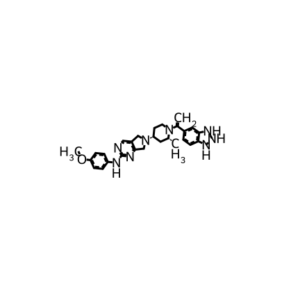 C=C(c1ccc2c(c1)NNN2)N1CC[C@@H](N2Cc3cnc(Nc4ccc(OC)cc4)nc3C2)C[C@H]1C